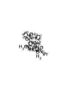 CC(C)CNC(=O)[C@@H](NC[C@H](Cc1ccccc1)NC(=O)c1cc(C(=O)N[C@H](C)c2ccccc2)cc(N(C)S)c1)[C@@H](C)O